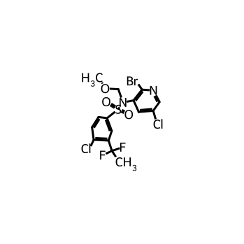 COCN(c1cc(Cl)cnc1Br)S(=O)(=O)c1ccc(Cl)c(C(C)(F)F)c1